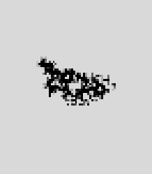 Cc1cccc(C)c1-c1cc2nc(n1)NSc1cccc(c1)C(Cc1nc(N(C)C3CC4(CC4)C3)ccc1F)C(CC(C)(C)C)CO2